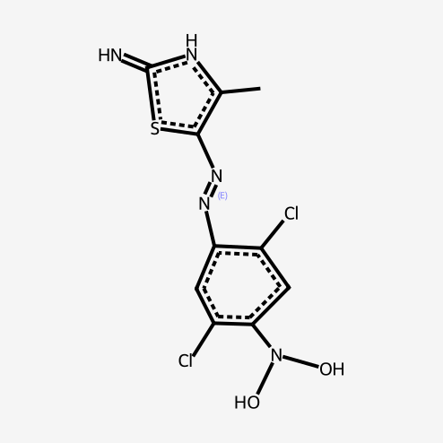 Cc1[nH]c(=N)sc1/N=N/c1cc(Cl)c(N(O)O)cc1Cl